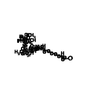 C#CCCCON(C(=O)[C@@H](NC(=O)[C@H]1CCCCN1C)[C@@H](C)CC)[C@H](C[C@@H](OC(C)=O)c1nc(C(=O)N[C@@H](Cc2ccc(NC(=O)CNC(=O)[C@H](Cc3ccccc3)NC(=O)CNC(=O)CNC(=O)CCOCCOCCOCCOCCNC(=O)OCC3C4CCC#CCCC43)cc2)CC(C)(C)C(=O)O)cs1)C(C)C